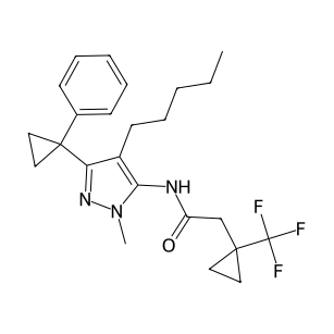 CCCCCc1c(C2(c3ccccc3)CC2)nn(C)c1NC(=O)CC1(C(F)(F)F)CC1